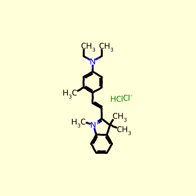 CCN(CC)c1ccc(C=CC2=[N+](C)c3ccccc3C2(C)C)c(C)c1.Cl.[Cl-]